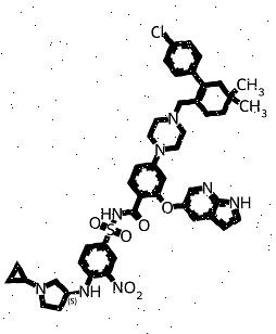 CC1(C)CCC(CN2CCN(c3ccc(C(=O)NS(=O)(=O)c4ccc(N[C@H]5CCN(C6CC6)C5)c([N+](=O)[O-])c4)c(Oc4cnc5[nH]ccc5c4)c3)CC2)=C(c2ccc(Cl)cc2)C1